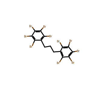 Brc1c(Br)c(Br)c(CCCc2c(Br)c(Br)c(Br)c(Br)c2Br)c(Br)c1Br